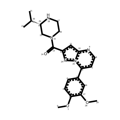 COc1ccc(-c2ccnc3cc(C(=O)N4CCN[C@@H](C(C)C)C4)nn23)cc1OC